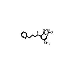 Cc1cc(NCCCc2ccccn2)c2n[nH]c(=O)n2c1